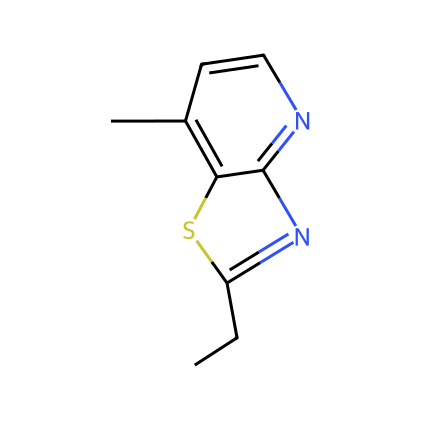 CCc1nc2nccc(C)c2s1